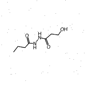 CCCC(=O)NNC(=O)CCO